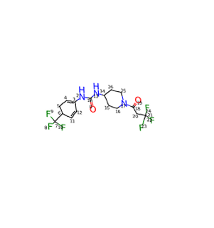 O=C(NC1=CCC(C(F)(F)F)C=C1)NC1CCN(C(=O)CC(F)(F)F)CC1